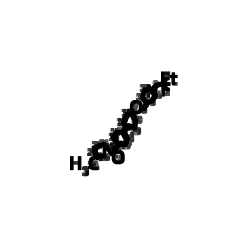 CCC(F)CN1CCC(COc2ccc(-c3ccc(C(=O)N4CCCC(C)C4)cc3)cc2)CC1